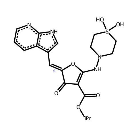 CC(C)OC(=O)C1=C(NN2CCS(O)(O)CC2)O/C(=C\c2c[nH]c3ncccc23)C1=O